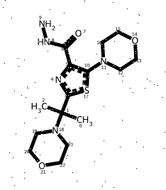 CC(C)(c1nc(C(=O)NN)c(N2CCOCC2)s1)N1CCOCC1